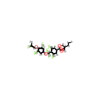 CCCC12COC(c3cc(F)c(C(F)(F)Oc4cc(F)c(O/C=C(\C)F)c(F)c4)c(F)c3)(OC1)OC2